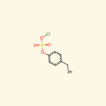 CC(C)Cc1ccc(OS(=O)(=O)OCl)cc1